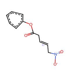 O=C(C/C=C/C[N+](=O)[O-])Oc1ccccc1